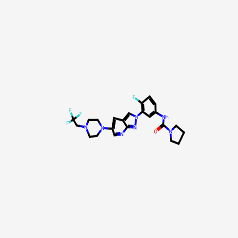 O=C(Nc1ccc(F)c(-n2cc3cc(N4CCN(CC(F)(F)F)CC4)cnc3n2)c1)N1CCCC1